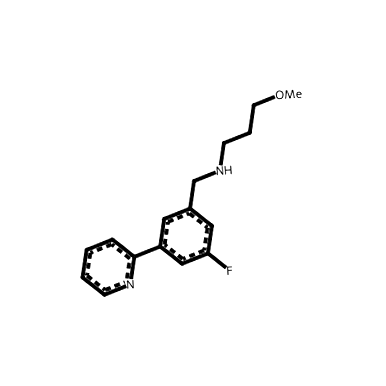 COCCCNCc1cc(F)cc(-c2ccccn2)c1